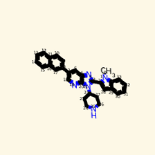 Cn1c(-c2nc3cc(-c4ccc5ccccc5c4)cnc3n2C2CCNCC2)cc2ccccc21